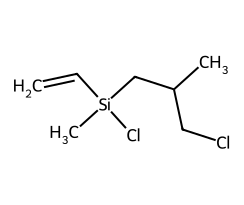 C=C[Si](C)(Cl)CC(C)CCl